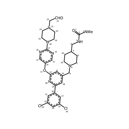 CNC(=O)NCC1CCN(Cc2cc(Oc3cnc(N4CCN(CC=O)CC4)nc3)nc(-c3cc(Cl)cc(Cl)c3)c2)CC1